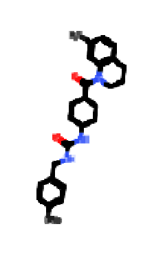 COc1ccc(CNC(=O)NC2CCC(C(=O)N3CCCc4ccc(C(F)(F)F)cc43)CC2)cc1